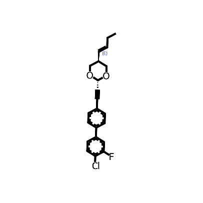 CC/C=C/[C@H]1CO[C@H](C#Cc2ccc(-c3ccc(Cl)c(F)c3)cc2)OC1